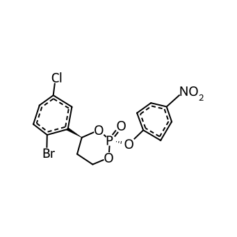 O=[N+]([O-])c1ccc(O[P@]2(=O)OCC[C@@H](c3cc(Cl)ccc3Br)O2)cc1